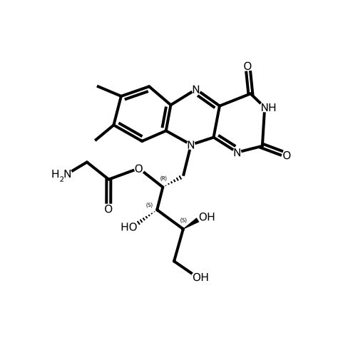 Cc1cc2nc3c(=O)[nH]c(=O)nc-3n(C[C@@H](OC(=O)CN)[C@@H](O)[C@@H](O)CO)c2cc1C